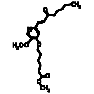 CCCCCC(=O)/C=C/c1cc(OCCCCCC(=O)OC)c(OC)cn1